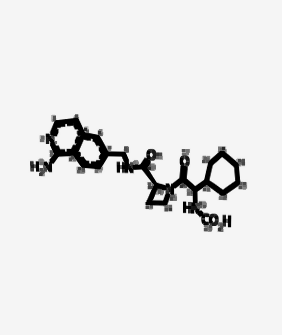 Nc1nccc2cc(CNC(=O)[C@@H]3CCN3C(=O)C(NC(=O)O)C3CCCCC3)ccc12